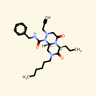 C#CCN1CC(=O)N2[C@@H](CCC)C(=O)N(CCCCCC)C[C@@H]2N1C(=O)NCc1ccccc1